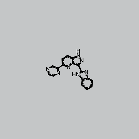 c1ccc2[nH]c(-c3n[nH]c4ccc(-c5cnccn5)nc34)nc2c1